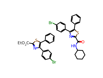 CCOC(=O)c1nc(-c2ccc(Br)cc2)c(-c2ccccc2)s1.O=C(NC1CCCCC1)c1nc(-c2ccc(Br)cc2)c(-c2ccccc2)s1